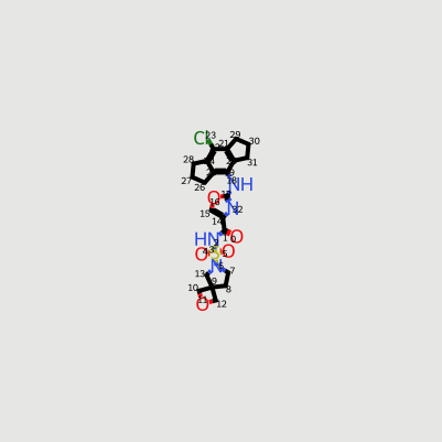 O=C(NS(=O)(=O)N1CCC2(COC2)C1)c1coc(Nc2c3c(c(Cl)c4c2CCC4)CCC3)n1